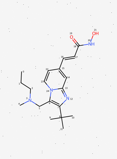 CCCN(C)Cc1c(C(C)(C)C)nc2cc(C=CC(=O)NO)ccn12